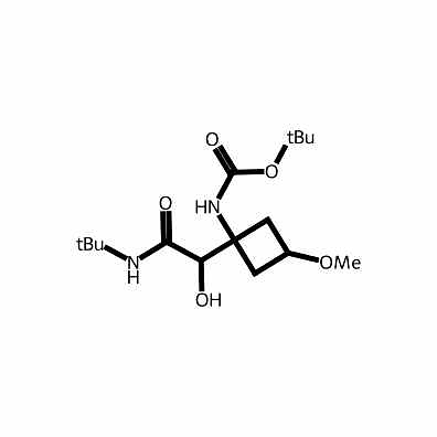 COC1CC(NC(=O)OC(C)(C)C)(C(O)C(=O)NC(C)(C)C)C1